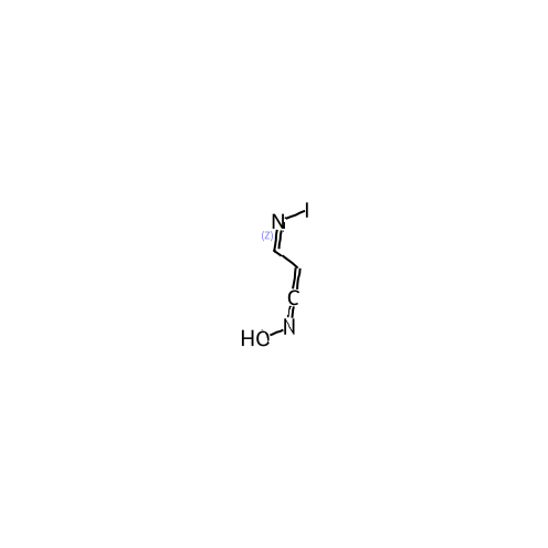 ON=C=C/C=N\I